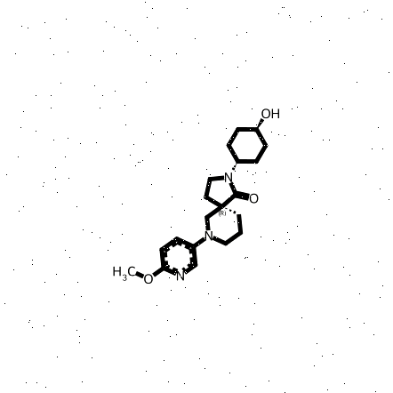 COc1ccc(N2CCC[C@@]3(CCN([C@H]4CC[C@H](O)CC4)C3=O)C2)cn1